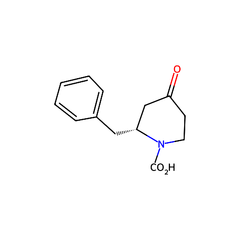 O=C1CCN(C(=O)O)[C@H](Cc2ccccc2)C1